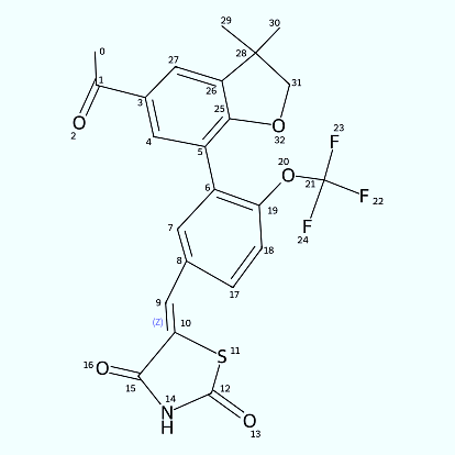 CC(=O)c1cc(-c2cc(/C=C3\SC(=O)NC3=O)ccc2OC(F)(F)F)c2c(c1)C(C)(C)CO2